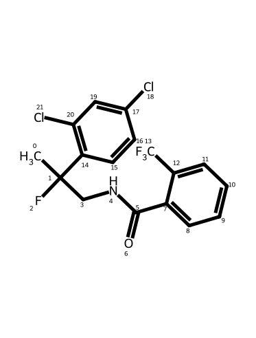 CC(F)(CNC(=O)c1ccccc1C(F)(F)F)c1ccc(Cl)cc1Cl